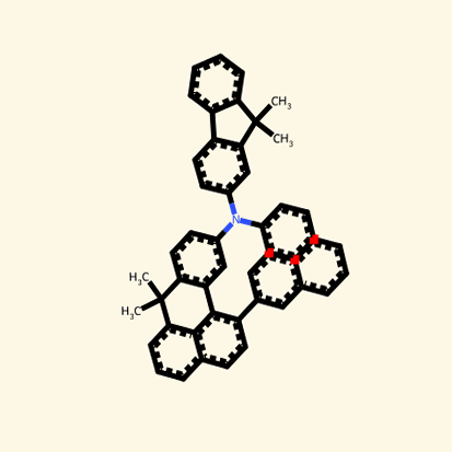 CC1(C)c2ccccc2-c2ccc(N(c3ccccc3)c3ccc4c(c3)-c3c(-c5ccc6ccccc6c5)ccc5cccc(c35)C4(C)C)cc21